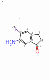 Nc1cc2c(cc1I)CCC2=O